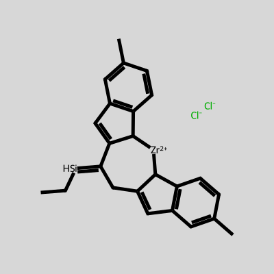 CC[SiH]=C1CC2=Cc3cc(C)ccc3[CH]2[Zr+2][CH]2C1=Cc1cc(C)ccc12.[Cl-].[Cl-]